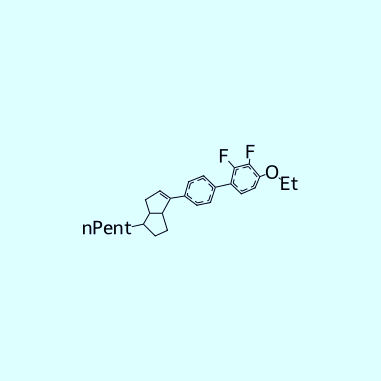 CCCCCC1CCC2C(c3ccc(-c4ccc(OCC)c(F)c4F)cc3)=CCC12